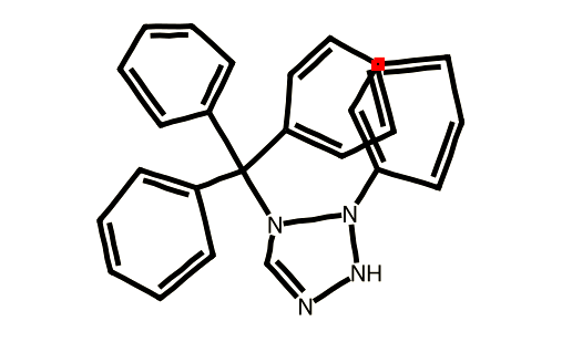 C1=NNN(c2ccccc2)N1C(c1ccccc1)(c1ccccc1)c1ccccc1